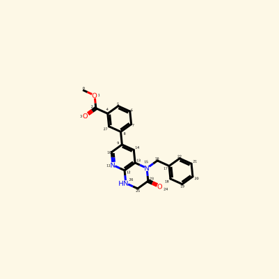 COC(=O)c1cccc(-c2cnc3c(c2)N(Cc2ccccc2)C(=O)CN3)c1